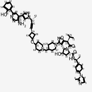 Cc1nccn1-c1ccc([C@H](C)NC(=O)[C@@H]2C[C@@H](O)CN2C(=O)[C@@H](c2cc(N3CCC(CN4CCC(O[C@H]5C[C@H](C#C[C@@H](C)n6cc(-c7cc(-c8ccccc8O)nnc7N)cn6)C5)CC4)CC3)no2)C(C)C)cc1